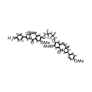 COc1ccc(C2=CN3C(=O)c4cc(OC)c(OCC(C)(C)CC(C)(C)COc5cc6c(cc5OC)C(=O)N5C=C(c7ccc(N)cc7)C[C@H]5C=N6)cc4N=C[C@@H]3C2)cc1